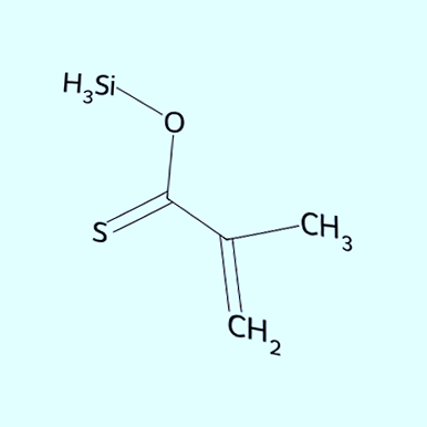 C=C(C)C(=S)O[SiH3]